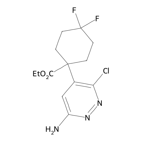 CCOC(=O)C1(c2cc(N)nnc2Cl)CCC(F)(F)CC1